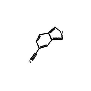 N#Cc1ccc2cocc2c1